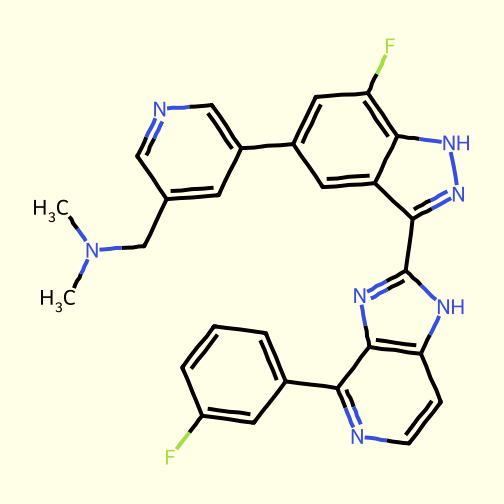 CN(C)Cc1cncc(-c2cc(F)c3[nH]nc(-c4nc5c(-c6cccc(F)c6)nccc5[nH]4)c3c2)c1